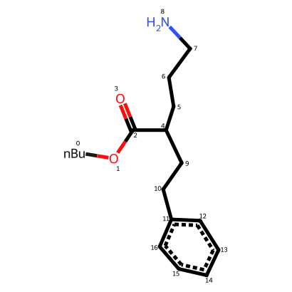 CCCCOC(=O)C(CCCN)CCc1ccccc1